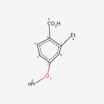 CCCOc1ccc(C(=O)O)c(CC)c1